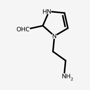 NCCN1C=CNC1C=O